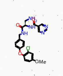 COc1ccc(Oc2ccc(CNC(=O)[C@@H](CN)NC(=O)c3cncnc3)cc2)c(Cl)c1